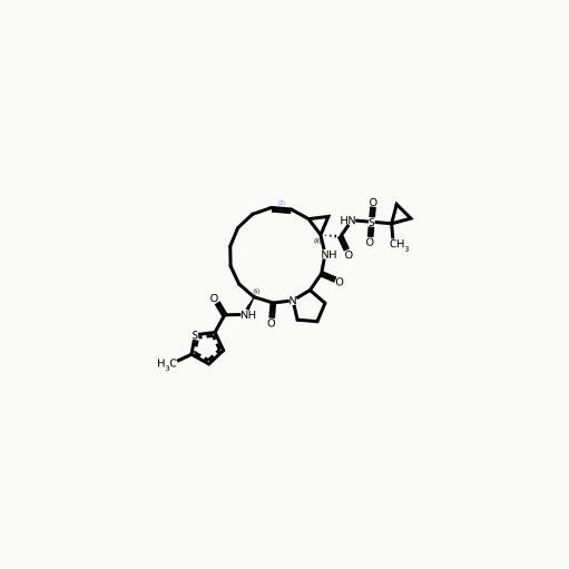 Cc1ccc(C(=O)N[C@H]2CCCCC/C=C\C3C[C@@]3(C(=O)NS(=O)(=O)C3(C)CC3)NC(=O)C3CCCN3C2=O)s1